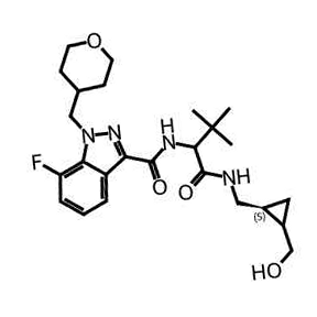 CC(C)(C)C(NC(=O)c1nn(CC2CCOCC2)c2c(F)cccc12)C(=O)NC[C@H]1CC1CO